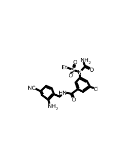 CCS(=O)(=O)N(C(N)=O)c1cc(Cl)cc(C(=O)NCc2ccc(C#N)cc2N)c1